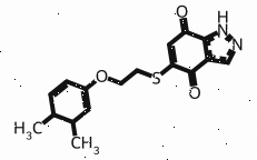 CC1C=CC(OCCSC2=CC(=O)c3[nH]ncc3C2=O)=CC1C